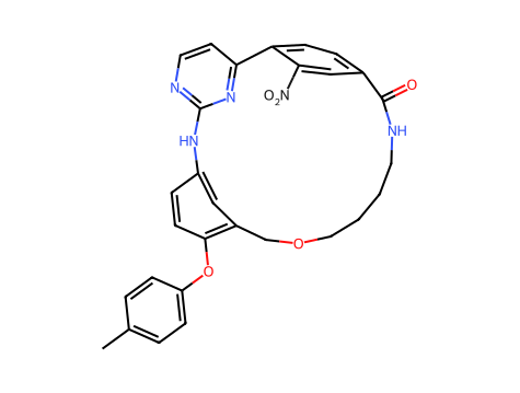 Cc1ccc(Oc2ccc3cc2COCCCCNC(=O)c2ccc(c([N+](=O)[O-])c2)-c2ccnc(n2)N3)cc1